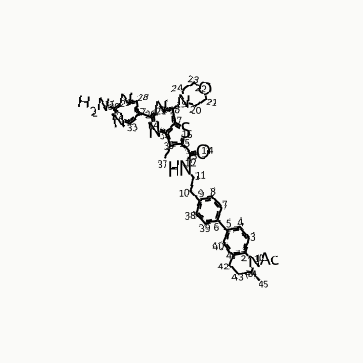 CC(=O)N1c2ccc(-c3ccc(CCNC(=O)c4sc5c(N6CCOCC6)nc(-c6cnc(N)nc6)nc5c4C)cc3)cc2CC[C@@H]1C